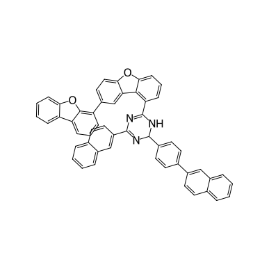 c1ccc2cc(C3=NC(c4ccc(-c5ccc6ccccc6c5)cc4)NC(c4cccc5oc6ccc(-c7cccc8c7oc7ccccc78)cc6c45)=N3)ccc2c1